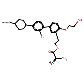 C=C(C)C(=O)OCCc1cc(-c2ccc(C3CCC(CCCCC)CC3)cc2CC)ccc1OCCO